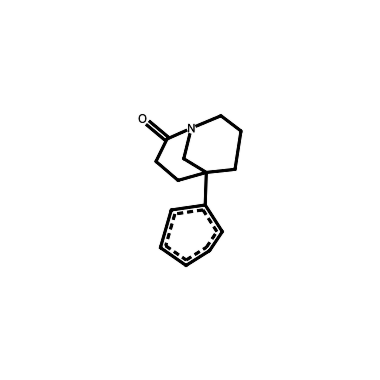 O=C1CCC2(c3ccccc3)CCCN1C2